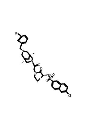 C[C@]12CN(Cc3cccc(Br)c3)C[C@](C)(CN(C(=O)CN3CCC[C@H](NS(=O)(=O)c4ccc5cc(Cl)ccc5c4)C3=O)C1)C2